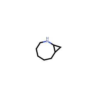 C1CCNC2CC2CC1